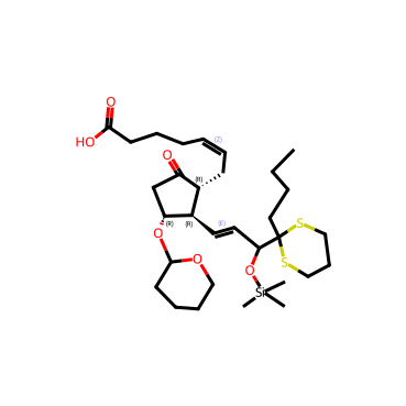 CCCCC1(C(/C=C/[C@H]2[C@H](OC3CCCCO3)CC(=O)[C@@H]2C/C=C\CCCC(=O)O)O[Si](C)(C)C)SCCCS1